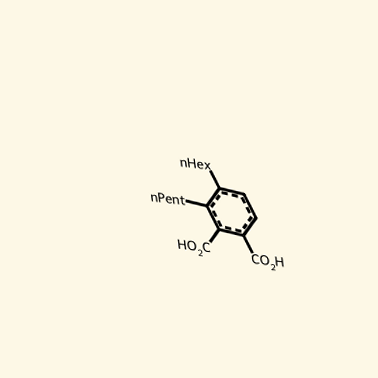 CCCCCCc1ccc(C(=O)O)c(C(=O)O)c1CCCCC